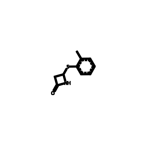 Cc1ccccc1SC1CC(=O)N1